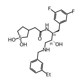 CCc1cccc(CNC[C@@H](O)[C@H](Cc2cc(F)cc(F)c2)NC(=O)CC2CCS(O)(O)C2)c1